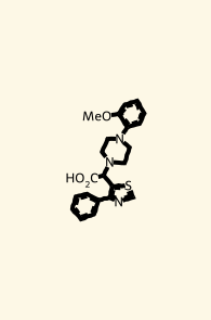 COc1ccccc1N1CCN(C(C(=O)O)c2scnc2-c2ccccc2)CC1